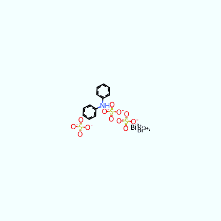 O=S(=O)([O-])[O-].O=S(=O)([O-])[O-].O=S(=O)([O-])[O-].[Bi+3].[Bi+3].c1ccc(Nc2ccccc2)cc1